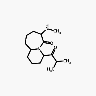 CNC1CCCC2CCCC(C(=O)C(C)C)N2C1=O